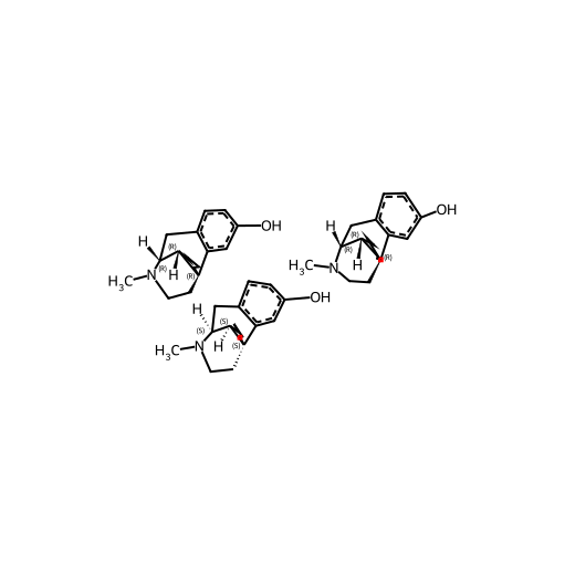 CN1CC[C@@]23CCCC[C@@H]2[C@@H]1Cc1ccc(O)cc13.CN1CC[C@]23CCCC[C@H]2[C@H]1Cc1ccc(O)cc13.CN1CC[C@]23CCCC[C@H]2[C@H]1Cc1ccc(O)cc13